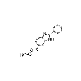 OOOSc1ccc2nc(-c3ccccc3)[nH]c2c1